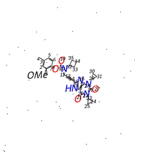 COc1cc(C)ccc1OC(=O)N(CC#Cc1nc2c([nH]1)c(=O)n(C1CC1)c(=O)n2C1CC1)C1CCC1